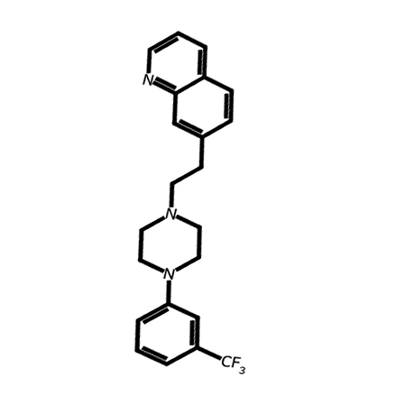 FC(F)(F)c1cccc(N2CCN(CCc3ccc4cccnc4c3)CC2)c1